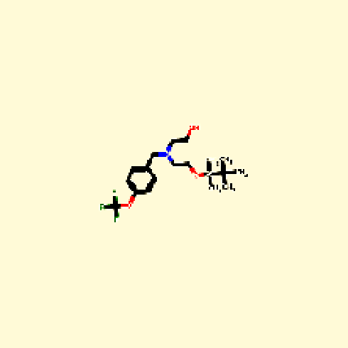 CC(C)(C)[Si](C)(C)OCCN(CCO)Cc1ccc(OC(F)(F)F)cc1